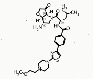 COCCN1CCN(c2nc(-c3ccc(C(=O)N[C@@H](CC(C)C)C(=O)N4C[C@H](N)[C@H]5OCC(=O)[C@H]54)cc3)cs2)CC1